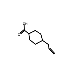 C=CCC1CCC(C(=O)O)CC1